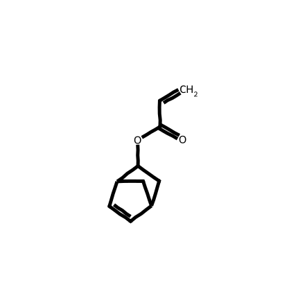 C=CC(=O)OC1CC2C=CC1C2